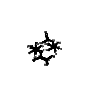 FC(F)=C(F)OS(F)(F)(F)(F)F.O=C(F)CS(F)(F)(F)(F)F